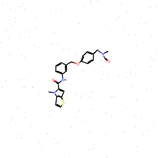 CN(C=O)Cc1ccc(OCc2cccc(NC(=O)c3cc4sccc4n3C)c2)cc1